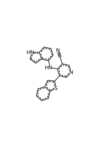 N#Cc1cncc(-c2cc3ccccc3s2)c1Nc1cccc2[nH]ccc12